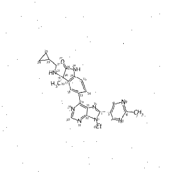 CCn1c(-c2cnc(C)nc2)nc2c(-c3ccc4c(c3)[C@@](C)(NCC3CC3)C(=O)N4)ncnc21